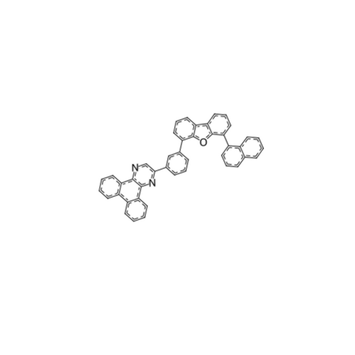 c1cc(-c2cnc3c4ccccc4c4ccccc4c3n2)cc(-c2cccc3c2oc2c(-c4cccc5ccccc45)cccc23)c1